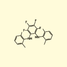 Cc1cccc(C)c1Nc1c(F)c(F)c(F)c(F)c1Nc1c(C)cccc1C